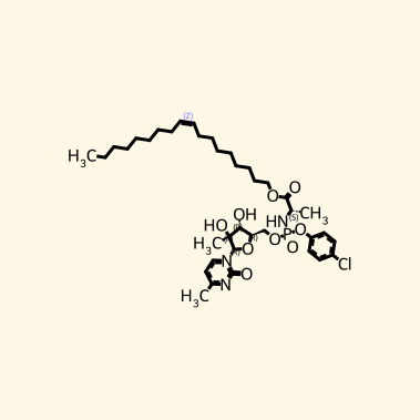 CCCCCCCC/C=C\CCCCCCCCOC(=O)[C@H](C)NP(=O)(OC[C@H]1O[C@@H](n2ccc(C)nc2=O)[C@](C)(O)[C@@H]1O)Oc1ccc(Cl)cc1